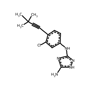 CC(C)(C)C#Cc1ccc(Nc2n[nH]c(N)n2)cc1Cl